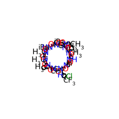 CC[C@H](C)[C@@H]1NC(=O)[C@H](CC(C)C)N(C)C(=O)C[C@@H](C(=O)N2CCC(C)CC2)N(C)C(=O)[C@H](C2CCCCC2)N(C)C(=O)C2(CCCC2)NC(=O)[C@@H]2CCCN2C(=O)[C@H](CCc2ccc(C(F)(F)F)c(Cl)c2)NC(=O)CN(C)C(=O)[C@H](CC2CCCCC2)N(C)C(=O)CN(C)C(=O)CN(C)C1=O